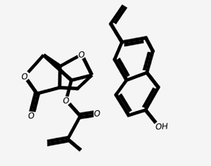 C=C(C)C(=O)OC1C2CC3C(=O)OC1C3O2.C=Cc1ccc2cc(O)ccc2c1